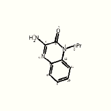 CCCn1c(=O)c(N)nc2ccccc21